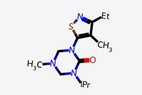 CCc1nsc(N2CN(C)CN(C(C)C)C2=O)c1C